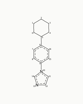 [CH]1CCCCC1c1ccc(-n2ccnc2)cc1